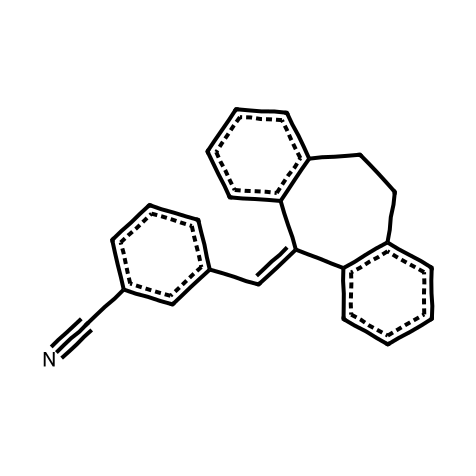 N#Cc1cccc(C=C2c3ccccc3CCc3ccccc32)c1